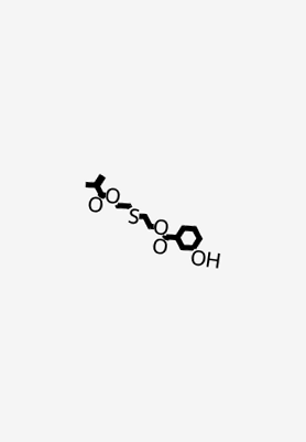 C=C(C)C(=O)OCCSCCOC(=O)C1CCCC(O)C1